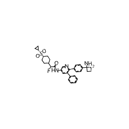 NC1(c2ccc(-c3ncc(NC(=O)C(F)C4CCC(S(=O)(=O)C5CC5)CC4)cc3-c3ccccc3)cc2)CCC1